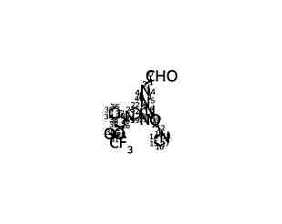 O=CC=CN1CCN(c2nc(OCCc3ccccn3)nc3c2CCN(c2cc(OC(=O)C(F)(F)F)cc4ccccc24)C3)CC1